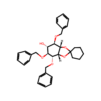 O[C@@H]1[C@@H](OCc2ccccc2)[C@@H]2OC3(CCCCC3)O[C@@H]2[C@H](OCc2ccccc2)[C@H]1OCc1ccccc1